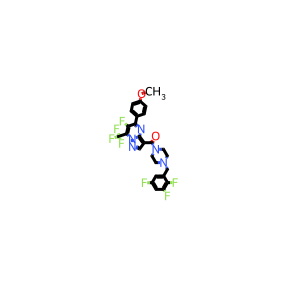 COc1ccc(-c2nc3c(C(=O)N4CCN(Cc5cc(F)cc(F)c5F)CC4)cnn3c(C(F)(F)F)c2F)cc1